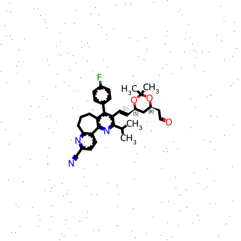 CC(C)c1nc2c(c(-c3ccc(F)cc3)c1/C=C/[C@@H]1C[C@H](CC=O)OC(C)(C)O1)CCCc1nc(C#N)ccc1-2